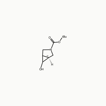 CC(C)(C)OC(=O)N1CC2C(O)[C@@H]2C1